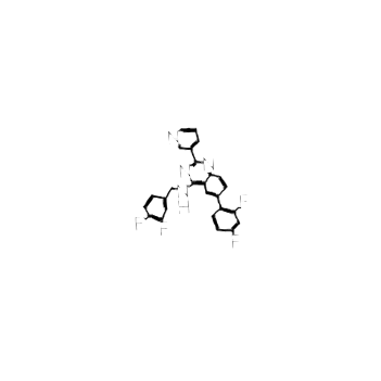 Fc1ccc(-c2ccc3nc(-c4cccnc4)nc(NCc4ccc(F)c(F)c4)c3c2)c(F)c1